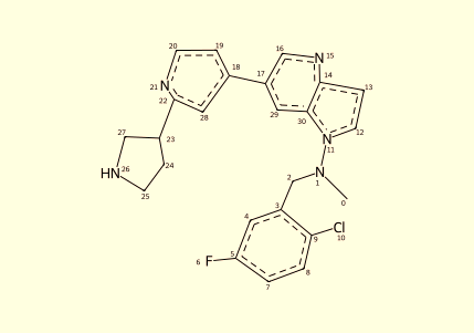 CN(Cc1cc(F)ccc1Cl)n1ccc2ncc(-c3ccnc(C4CCNC4)c3)cc21